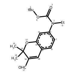 CCN(C(=O)OC(C)(C)C)c1ccc2c(c1)OC(C)(C)C(C=O)=C2